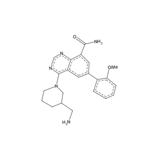 COc1ccccc1-c1cc(C(N)=O)c2ncnc(N3CCCC(CN)C3)c2c1